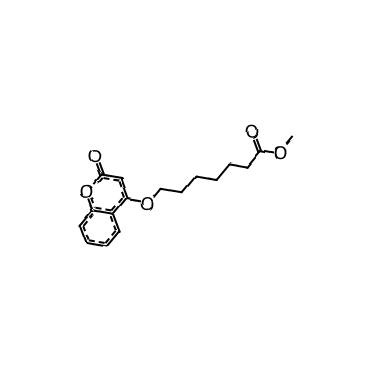 COC(=O)CCCCCCOc1cc(=O)oc2ccccc12